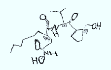 CCCCCC[C@H](CC(=O)NO)C(=O)N[C@H](C(=O)C1CCC[C@H]1CO)C(C)C